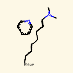 CCCCCCCCCCCCCCCCN(C)C.c1ccncc1